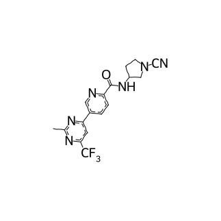 Cc1nc(-c2ccc(C(=O)NC3CCN(C#N)C3)nc2)cc(C(F)(F)F)n1